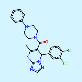 CC1=C(C(=O)N2CCN(c3ccccc3)CC2)C(c2ccc(Cl)c(Cl)c2)n2ncnc2N1